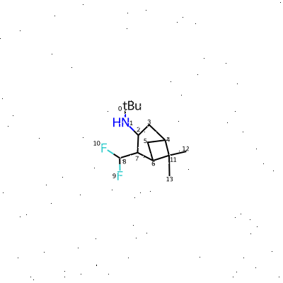 CC(C)(C)NC1CC2CC(C1C(F)F)C2(C)C